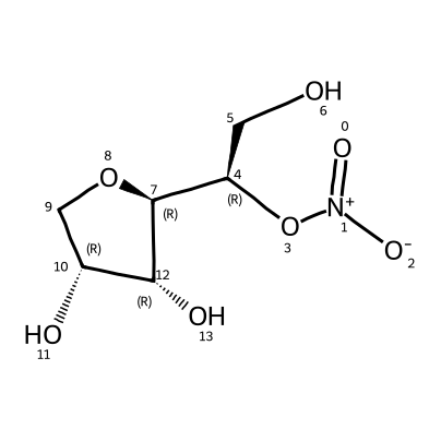 O=[N+]([O-])O[C@H](CO)[C@@H]1OC[C@@H](O)[C@H]1O